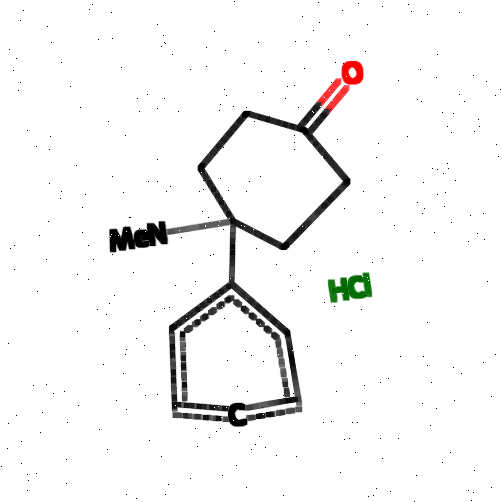 CNC1(c2ccccc2)CCC(=O)CC1.Cl